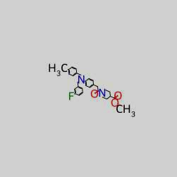 CCOC(=O)C1CCN(C(=O)Cc2ccc(N(Cc3ccc(C)cc3)Cc3cccc(F)c3)cc2)CC1